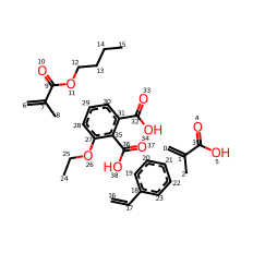 C=C(C)C(=O)O.C=C(C)C(=O)OCCCC.C=Cc1ccccc1.CCOc1cccc(C(=O)O)c1C(=O)O